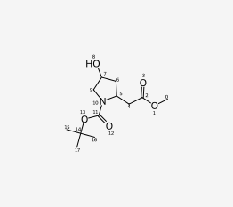 COC(=O)CC1CC(O)CN1C(=O)OC(C)(C)C